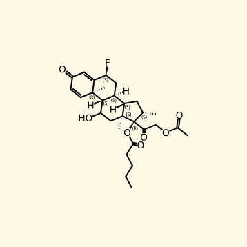 CCCCC(=O)O[C@]1(C(=O)COC(C)=O)[C@@H](C)C[C@H]2[C@@H]3C[C@H](F)C4=CC(=O)C=C[C@]4(C)[C@H]3C(O)C[C@@]21C